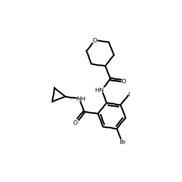 O=C(NC1CC1)c1cc(Br)cc(I)c1NC(=O)C1CCOCC1